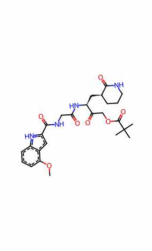 COc1cccc2[nH]c(C(=O)NCC(=O)N[C@@H](C[C@@H]3CCCNC3=O)C(=O)COC(=O)C(C)(C)C)cc12